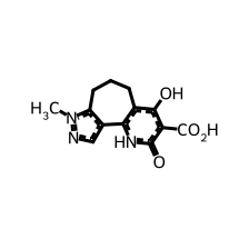 Cn1ncc2c1CCCc1c-2[nH]c(=O)c(C(=O)O)c1O